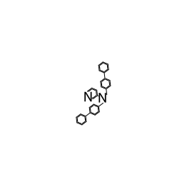 c1ccc(-c2ccc(CN(Cc3ccc(-c4ccccc4)cc3)c3cccnc3)cc2)cc1